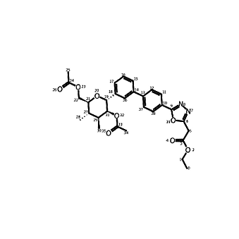 CCOC(=O)Cc1nnc(-c2ccc(-c3cccc([C@H]4O[C@H](COC(C)=O)[C@@H](C)[C@H](C)[C@@H]4OC(C)=O)c3)cc2)o1